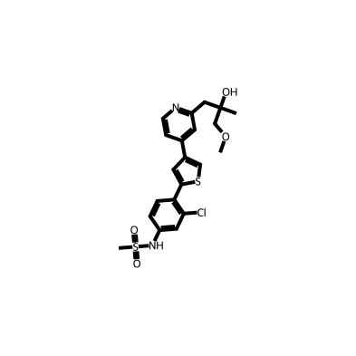 COCC(C)(O)Cc1cc(-c2csc(-c3ccc(NS(C)(=O)=O)cc3Cl)c2)ccn1